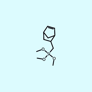 CO[Si](CC1CC2C=CC1C2)(OC)OC